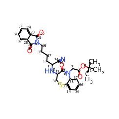 CC(C)(C)OC(=O)CN1C(=O)C(NC(C#N)CCCCN2C(=O)c3ccccc3C2=O)CSc2ccccc21